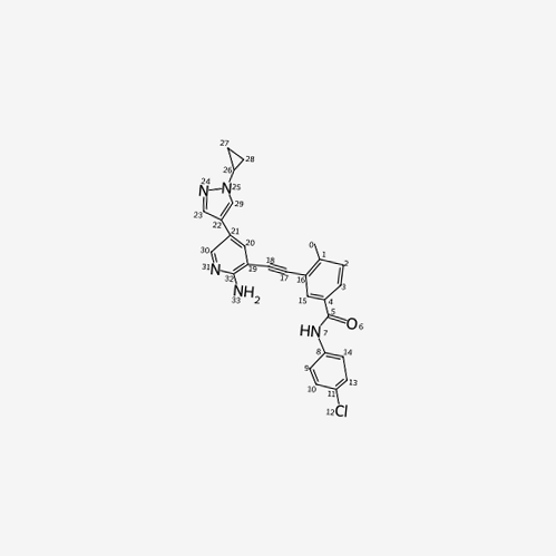 Cc1ccc(C(=O)Nc2ccc(Cl)cc2)cc1C#Cc1cc(-c2cnn(C3CC3)c2)cnc1N